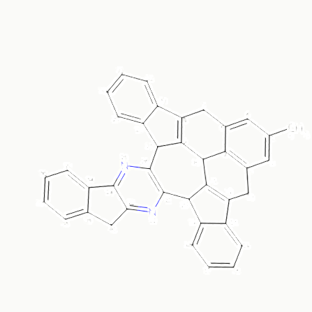 Cc1cc2c3c(c1)CC1=C4C3C3=C(C2)c2ccccc2C3c2nc3c(nc2C4c2ccccc21)-c1ccccc1C3